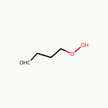 O=CCCCOO